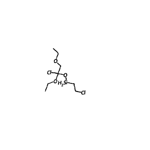 CCOCC(Cl)(OCC)O[SiH2]CCCl